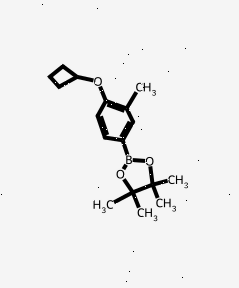 Cc1cc(B2OC(C)(C)C(C)(C)O2)ccc1OC1CCC1